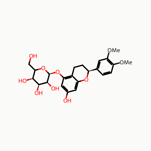 COc1ccc([C@@H]2CCc3c(O[C@@H]4OC(CO)[C@H](O)[C@H](O)[C@@H]4O)cc(O)cc3O2)cc1OC